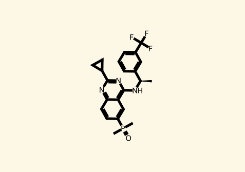 C[C@@H](Nc1nc(C2CC2)nc2ccc(P(C)(C)=O)cc12)c1cccc(C(F)(F)F)c1